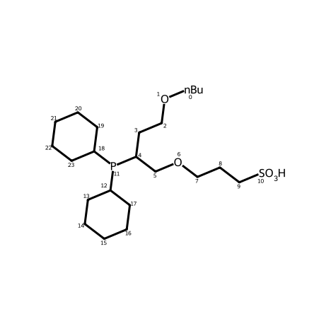 CCCCOCCC(COCCCS(=O)(=O)O)P(C1CCCCC1)C1CCCCC1